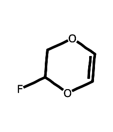 FC1COC=CO1